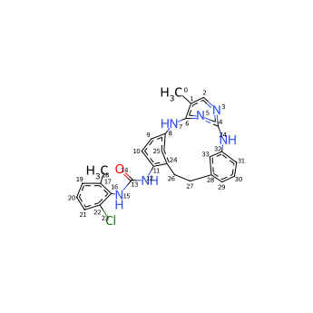 Cc1cnc2nc1Nc1ccc(NC(=O)Nc3c(C)cccc3Cl)c(c1)CCc1cccc(c1)N2